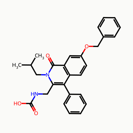 CC(C)Cn1c(CNC(=O)O)c(-c2ccccc2)c2ccc(OCc3ccccc3)cc2c1=O